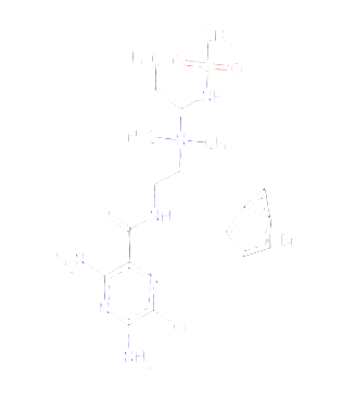 CCC(NS(C)(=O)=O)[N+](C)(C)CCNC(=O)c1nc(Cl)c(N)nc1N.[Br-].c1cc2cc-2c1